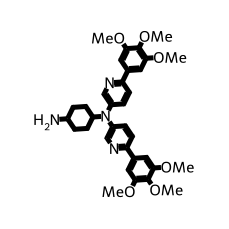 COc1cc(-c2ccc(N(c3ccc(-c4cc(OC)c(OC)c(OC)c4)nc3)C3CCC(N)CC3)cn2)cc(OC)c1OC